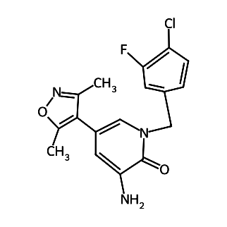 Cc1noc(C)c1-c1cc(N)c(=O)n(Cc2ccc(Cl)c(F)c2)c1